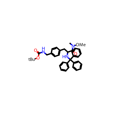 CON(C)C(=O)C(Cc1ccc(CNC(=O)OC(C)(C)C)cc1)NC(c1ccccc1)(c1ccccc1)c1ccccc1